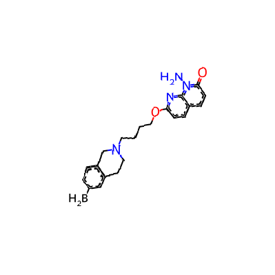 Bc1ccc2c(c1)CCN(CCCCOc1ccc3ccc(=O)n(N)c3n1)C2